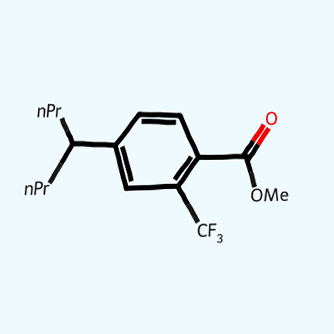 CCCC(CCC)c1ccc(C(=O)OC)c(C(F)(F)F)c1